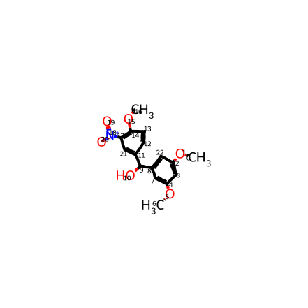 COc1cc(OC)cc(C(O)c2ccc(OC)c([N+](=O)[O-])c2)c1